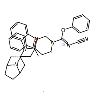 Cc1nc2ccccc2n1C1CC2CCC(C1)N2CCC1(c2ccccc2)CCN(/C(=N/C#N)Oc2ccccc2)CC1